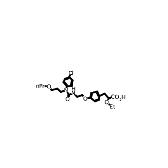 CCCOCCCN(C(=O)NCCOc1ccc(CC(OCC)C(=O)O)cc1)c1ccc(Cl)cc1